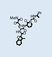 C=C(NC(=O)Cn1cccc(NC(=O)[C@H](CCC(=O)C(=O)NC)NC(=O)c2oc3ccccc3c2C)c1=O)C(C)C